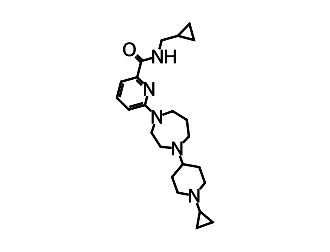 O=C(NCC1CC1)c1cccc(N2CCCN(C3CCN(C4CC4)CC3)CC2)n1